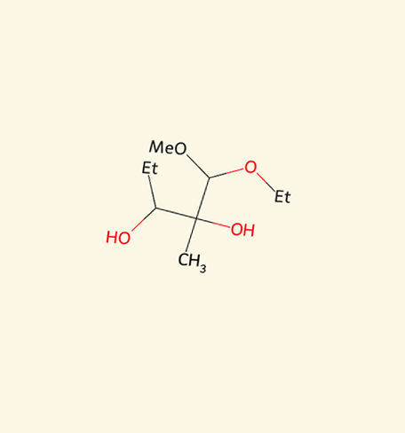 CCOC(OC)C(C)(O)C(O)CC